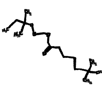 CCC(C)(C)OOOC(=O)CCCCC(C)(C)C